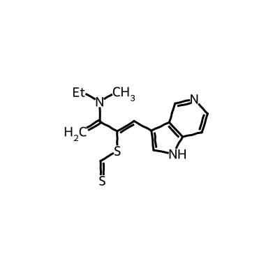 C=C(/C(=C/c1c[nH]c2ccncc12)SC=S)N(C)CC